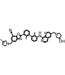 Cc1c(Nc2nccc3cc(CN4CC[C@@H](O)C4)cnc23)cccc1-c1cccc(-c2nc3cc(CN4CC[C@@H](C)C4)cc(C#N)c3o2)c1C